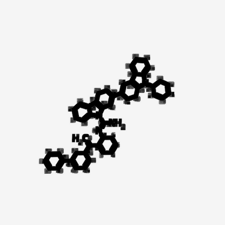 C=C(C1=CC=CCC1/N=C(\N)n1c2c(c3ccccc31)CCC(C1=Cc3c(n(C4C=CC=CC4)c4ccccc34)CC1)=C2)C1C=CC=C(c2ccccc2)C1